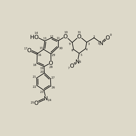 O=NCC1CC(N=O)CC(Oc2cc(O)c3c(=O)cc(-c4ccc(N=O)cc4)oc3c2)O1